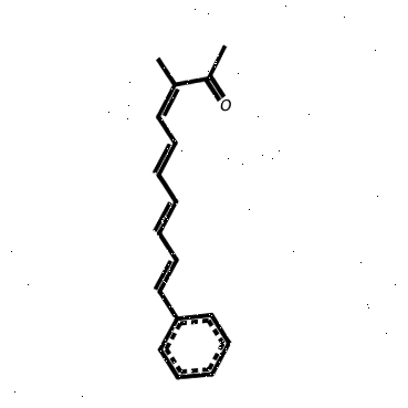 CC(=O)C(C)=CC=CC=CC=Cc1ccccc1